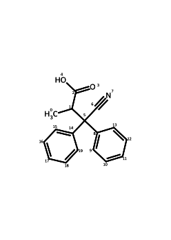 CC(C(=O)O)C(C#N)(c1ccccc1)c1ccccc1